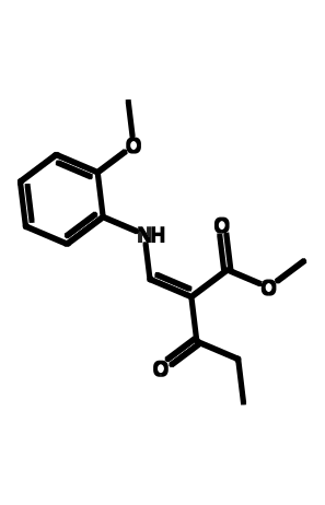 CCC(=O)C(=CNc1ccccc1OC)C(=O)OC